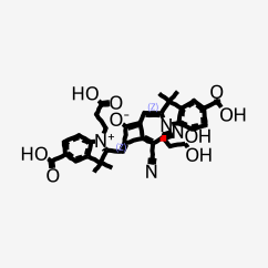 CC1(C)C(/C=C2C([O-])=C(/C=C3\N(CCC(O)O)c4ccc(C(=O)O)cc4C3(C)C)C\2=C(C#N)C#N)=[N+](CCC(=O)O)c2ccc(C(=O)O)cc21